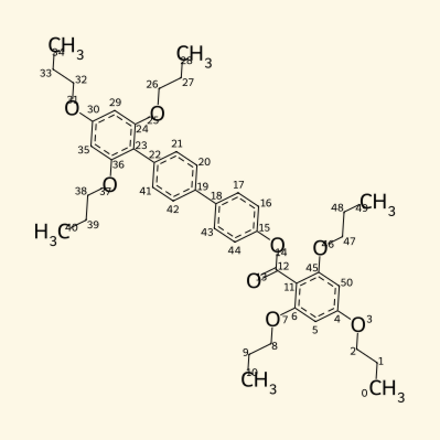 CCCOc1cc(OCCC)c(C(=O)Oc2ccc(-c3ccc(-c4c(OCCC)cc(OCCC)cc4OCCC)cc3)cc2)c(OCCC)c1